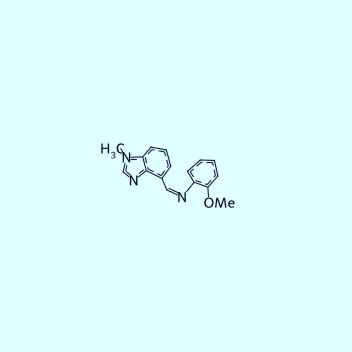 COc1ccccc1/N=C\c1cccc2c1ncn2C